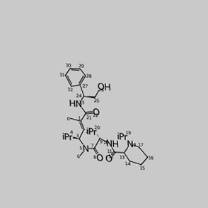 C/C(=C\[C@H](C(C)C)N(C)C(=O)[C@@H](NC(=O)C1CCCCN1C(C)C)C(C)C)C(=O)N[C@H](CO)c1ccccc1